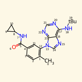 Cc1ccc(C(=O)NC2CC2)cc1-n1cnc2c(NC(C)(C)C)ncnc21